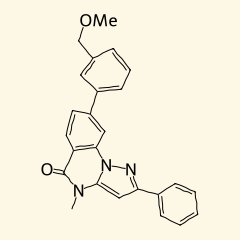 COCc1cccc(-c2ccc3c(=O)n(C)c4cc(-c5ccccc5)nn4c3c2)c1